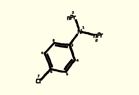 CCCN(CCC)c1ccc(Cl)cc1